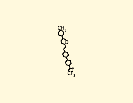 CC1CCC(C2CCC(CCC3CCC(C4CCC(/C(F)=C/C(F)(F)F)CC4)CC3)OC2)CC1